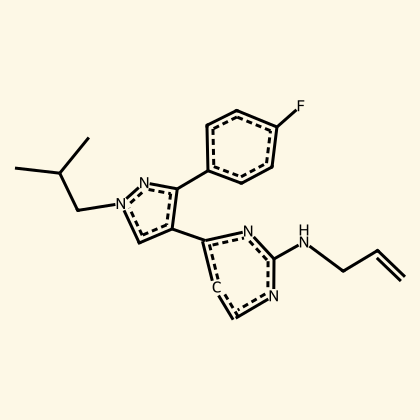 C=CCNc1nccc(-c2cn(CC(C)C)nc2-c2ccc(F)cc2)n1